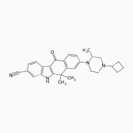 CC1CN(C2CCC2)CCN1c1ccc2c(c1)C(C)(C)c1[nH]c3cc(C#N)ccc3c1C2=O